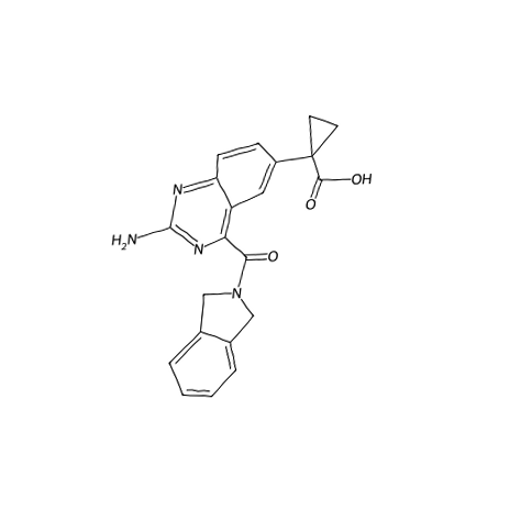 Nc1nc(C(=O)N2Cc3ccccc3C2)c2cc(C3(C(=O)O)CC3)ccc2n1